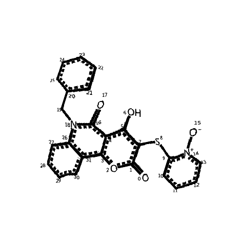 O=c1oc2c(c(O)c1Sc1cccc[n+]1[O-])c(=O)n(Cc1ccccc1)c1ccccc21